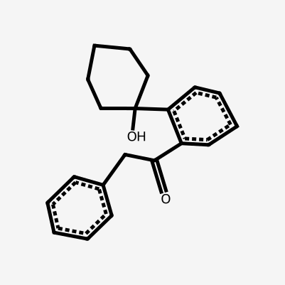 O=C(Cc1ccccc1)c1ccccc1C1(O)CCCCC1